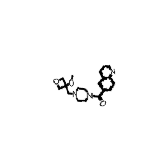 COC1(CN2CCN(C(=O)c3ccc4ncccc4c3)CC2)COC1